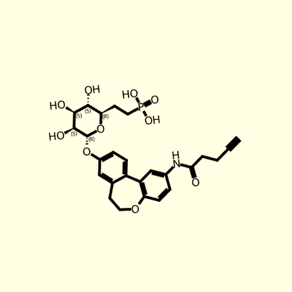 C#CCCC(=O)Nc1ccc2c(c1)-c1ccc(O[C@H]3O[C@H](CCP(=O)(O)O)[C@@H](O)[C@H](O)[C@@H]3O)cc1CCO2